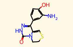 Nc1cc(C2=NNC(=O)N3CCSC=C23)ccc1O